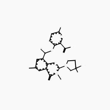 CC(Nc1ccc(Cl)nc1C(=O)O)c1cc(F)cc2c(=O)n(C)c(N3CCC(F)(F)C3)nc12